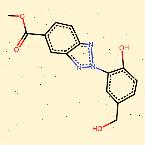 COC(=O)c1ccc2nn(-c3cc(CO)ccc3O)nc2c1